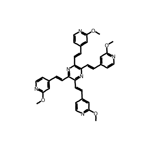 COc1cc(C=Cc2nc(C=Cc3ccnc(OC)c3)c(C=Cc3ccnc(OC)c3)nc2C=Cc2ccnc(OC)c2)ccn1